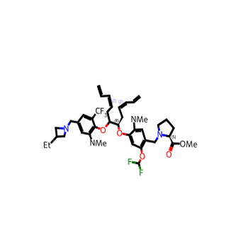 C=C/C=C\CC(Oc1c(NC)cc(CN2CC(CC)C2)cc1C(F)(F)F)[C@@H](C/C=C\C=C)Oc1cc(OC(F)F)c(CN2CCC[C@H]2C(=O)OC)cc1NC